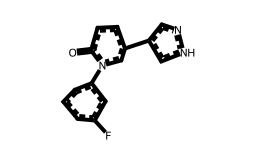 O=c1ccc(-c2cn[nH]c2)cn1-c1cccc(F)c1